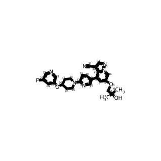 CC(C)(O)COc1cc(-c2ccc(N3CCC(Oc4cncc(F)c4)CC3)nc2)c2c(C#N)cnn2c1